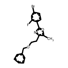 Cc1oc(-c2ccc(Br)cc2F)nc1CCOCc1ccccc1